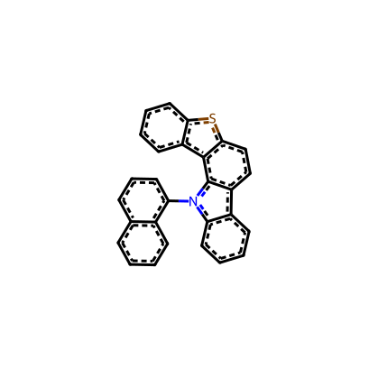 c1ccc2c(-n3c4ccccc4c4ccc5sc6ccccc6c5c43)cccc2c1